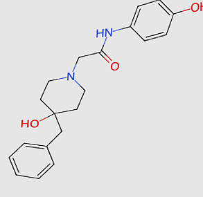 O=C(CN1CCC(O)(Cc2ccccc2)CC1)Nc1ccc(O)cc1